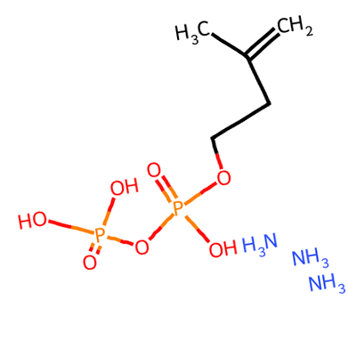 C=C(C)CCOP(=O)(O)OP(=O)(O)O.N.N.N